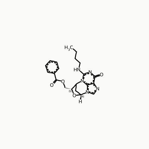 CCCCNc1nc(=O)c2ncn3c2n1C1C[C@H]3O[C@@H]1COC(=O)c1ccccc1